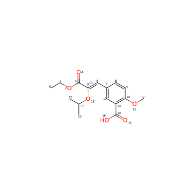 CCOC(=O)/C(=C/c1ccc(OC)c(C(=O)O)c1)OC(C)C